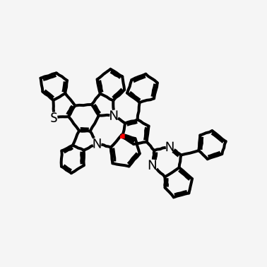 c1ccc(-c2cc(-c3nc(-c4ccccc4)c4ccccc4n3)ccc2-n2c3ccccc3c3c4c5ccccc5sc4c4c5ccccc5n(-c5ccccc5)c4c32)cc1